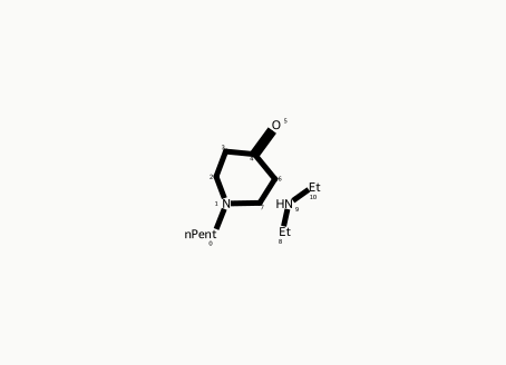 CCCCCN1CCC(=O)CC1.CCNCC